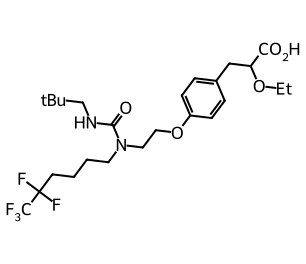 CCOC(Cc1ccc(OCCN(CCCCC(F)(F)C(F)(F)F)C(=O)NCC(C)(C)C)cc1)C(=O)O